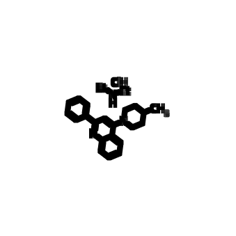 CC1CCN(c2cc(-c3ccccc3)nc3ccccc23)CC1.CCNCC.Cl